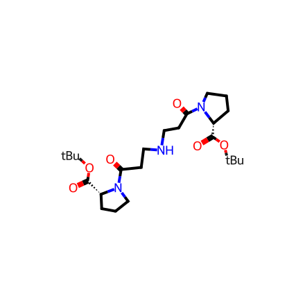 CC(C)(C)OC(=O)[C@H]1CCCN1C(=O)CCNCCC(=O)N1CCC[C@@H]1C(=O)OC(C)(C)C